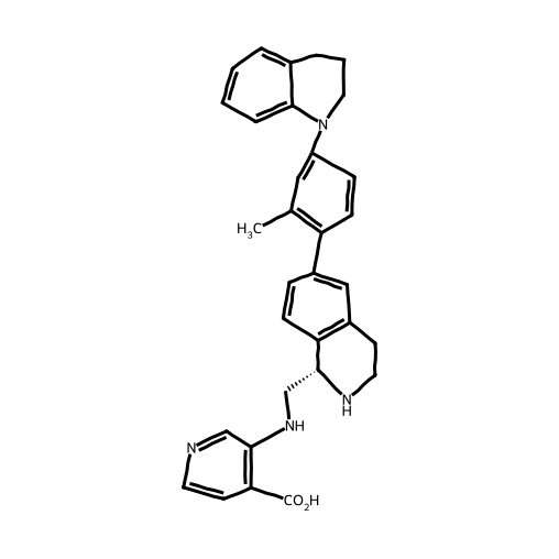 Cc1cc(N2CCCc3ccccc32)ccc1-c1ccc2c(c1)CCN[C@@H]2CNc1cnccc1C(=O)O